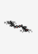 COC(=O)NC(C(=O)N1CCCC1C(=O)OCC(=O)c1ccc(-c2ccc(C(=O)COC(=O)C3CCCN3C(=O)C(NC(=O)OC)C(C)C)cc2)cc1)C(C)C